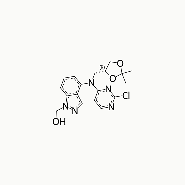 CC1(C)OC[C@@H](CN(c2ccnc(Cl)n2)c2cccc3c2cnn3CO)O1